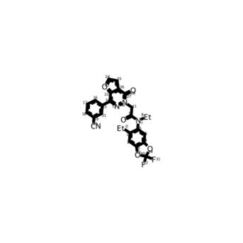 CCc1cc2c(cc1N(CC)C(=O)Cn1nc(-c3cccc(C#N)c3)c3occc3c1=O)OC(F)(F)O2